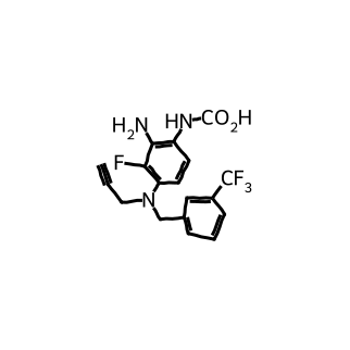 C#CCN(Cc1cccc(C(F)(F)F)c1)c1ccc(NC(=O)O)c(N)c1F